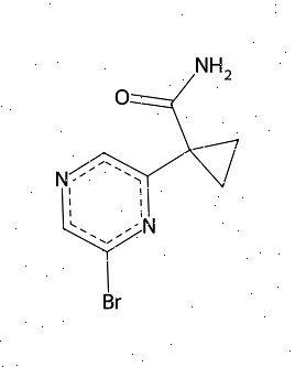 NC(=O)C1(c2cncc(Br)n2)CC1